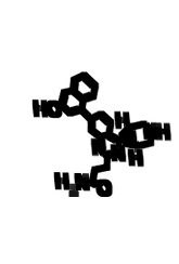 NC(=O)CCc1nc(N2[C@@H]3CC[C@H]2CNC3)c2ccc(-c3cc(O)cc4ccccc34)cc2n1